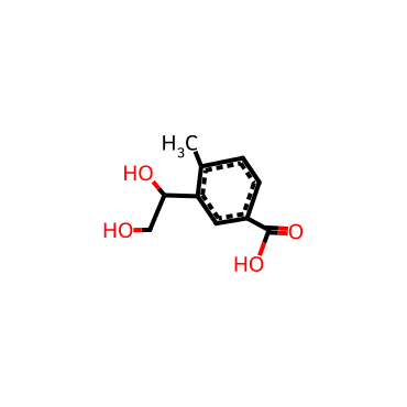 Cc1ccc(C(=O)O)cc1C(O)CO